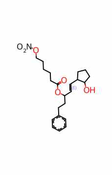 O=C(CCCCCO[N+](=O)[O-])OC(/C=C/C1CCCC1O)CCc1ccccc1